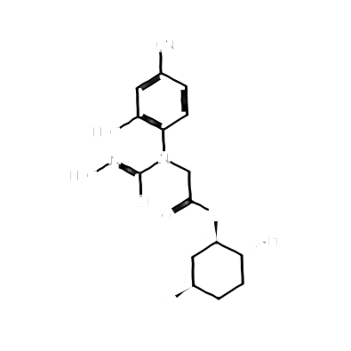 CC/C(=N\C)N(CC(=O)O[C@@H]1C[C@H](C)CC[C@H]1C(C)C)c1ccc(C#N)cc1C